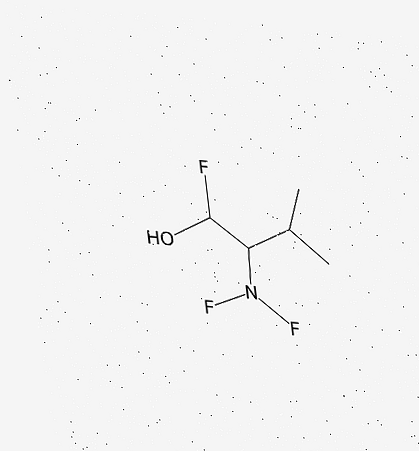 CC(C)C(C(O)F)N(F)F